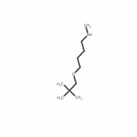 CNCCCCOCC(C)(C)C